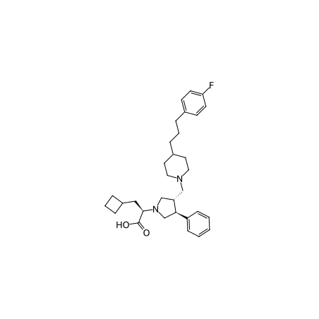 O=C(O)[C@@H](CC1CCC1)N1C[C@H](CN2CCC(CCCc3ccc(F)cc3)CC2)[C@@H](c2ccccc2)C1